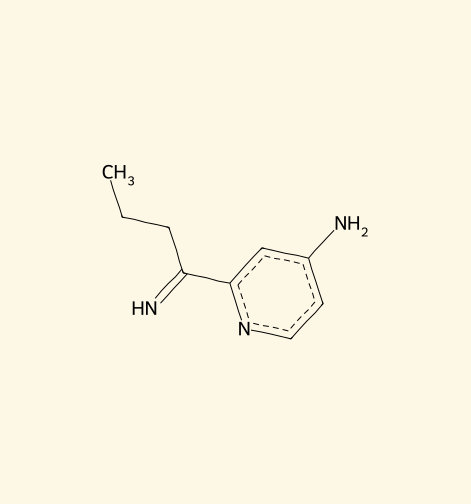 CCCC(=N)c1cc(N)ccn1